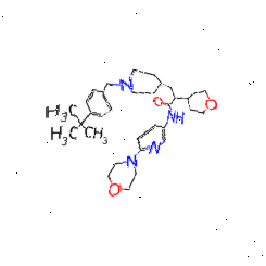 CC(C)(C)c1ccc(CN2CCC(CC(C(=O)Nc3ccc(N4CCOCC4)nc3)C3CCOCC3)CC2)cc1